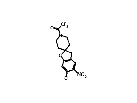 O=C(N1CCC2(CC1)Cc1cc([N+](=O)[O-])c(Cl)cc1O2)C(F)(F)F